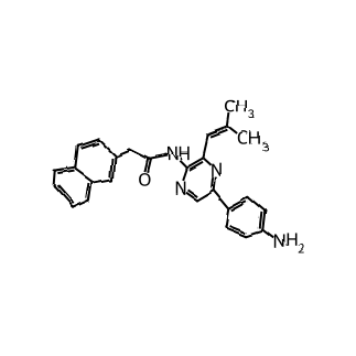 CC(C)=Cc1nc(-c2ccc(N)cc2)cnc1NC(=O)Cc1ccc2ccccc2c1